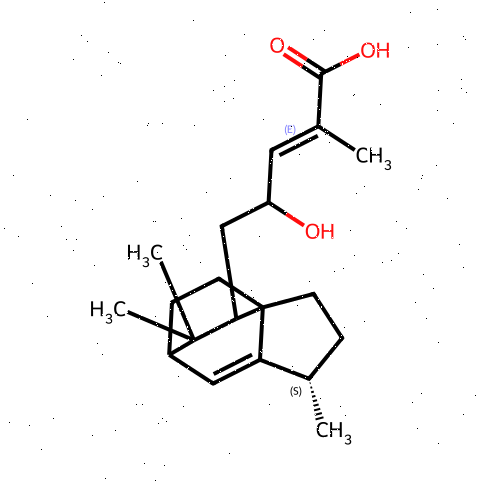 C/C(=C\C(O)CC1C23CCC(C=C2[C@@H](C)CC3)C1(C)C)C(=O)O